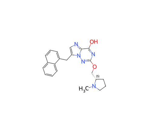 CN1CCC[C@H]1COc1nc(O)c2ncc(Cc3cccc4ccccc34)n2n1